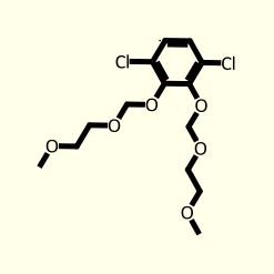 COCCOCOc1c(Cl)[c]cc(Cl)c1OCOCCOC